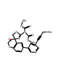 COCC#Cc1cncc(-c2ccc3c(c2)C2(COC(N(C(=O)OC(C)(C)C)C(=O)OC(C)(C)C)=N2)C2(COC2)CO3)c1